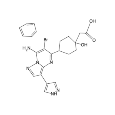 Nc1c(Br)c(C2CCC(O)(CC(=O)O)CC2)nc2c(-c3cn[nH]c3)cnn12.c1ccccc1